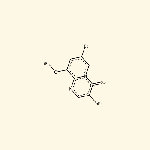 CCCc1cnc2c(OC(C)C)cc(CC)cn2c1=O